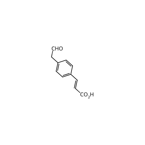 O=CCc1ccc(C=CC(=O)O)cc1